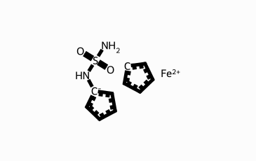 NS(=O)(=O)N[c-]1cccc1.[Fe+2].c1cc[cH-]c1